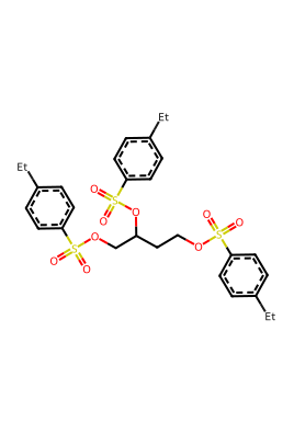 CCc1ccc(S(=O)(=O)OCCC(COS(=O)(=O)c2ccc(CC)cc2)OS(=O)(=O)c2ccc(CC)cc2)cc1